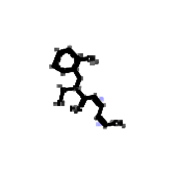 C=C(/C=C\C=C/C)N(Cc1ccccc1C)OCC